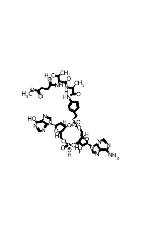 COC(=O)CCC(=O)N[C@H](C(=O)N[C@@H](C)C(=O)Nc1ccc(CSP2(=O)OC[C@H]3O[C@@H](n4cnc5c(N)ncnc54)[C@H](F)[C@@H]3OP(=O)(O)OC[C@H]3O[C@@H](n4cnc5c(O)ncnc54)C[C@@H]3O2)cc1)C(C)C